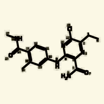 CCc1nc(C(N)=O)c(Nc2ccc(C(=O)NC)c(C)c2)nc1Cl